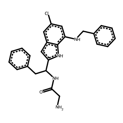 NCC(=O)NC(Cc1ccccc1)c1cc2cc(Cl)cc(NCc3ccccc3)c2[nH]1